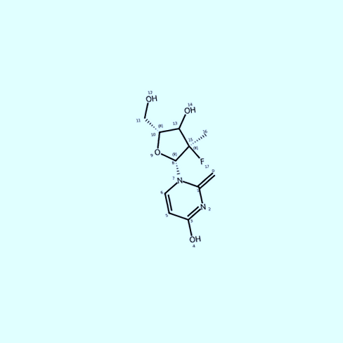 C=C1N=C(O)C=CN1[C@@H]1O[C@H](CO)C(O)[C@@]1(C)F